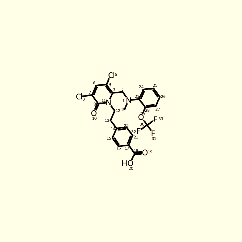 CN(Cc1c(Cl)cc(Cl)c(=O)n1CCc1ccc(C(=O)O)cc1)c1ccccc1OC(F)(F)F